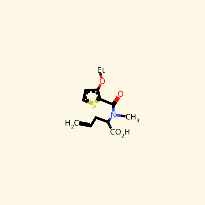 C=CCC(C(=O)O)N(C)C(=O)c1sccc1OCC